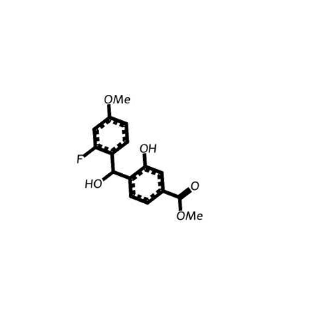 COC(=O)c1ccc(C(O)c2ccc(OC)cc2F)c(O)c1